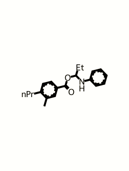 CCCc1ccc(C(=O)OC(CC)Nc2ccccc2)cc1C